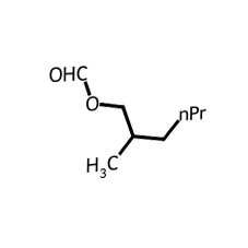 CCCCC(C)COC=O